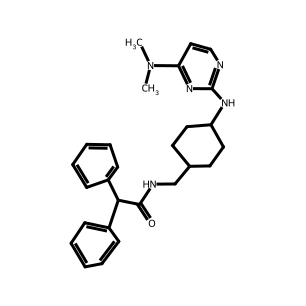 CN(C)c1ccnc(NC2CCC(CNC(=O)C(c3ccccc3)c3ccccc3)CC2)n1